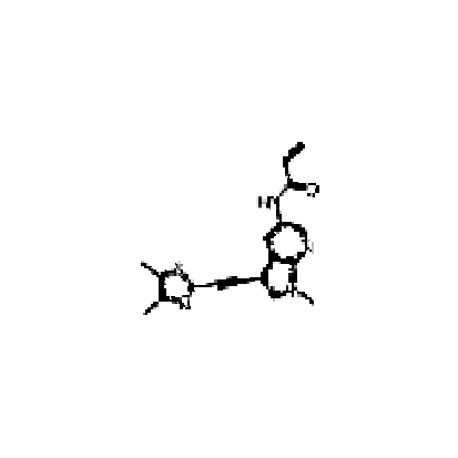 C=CC(=O)Nc1cnc2c(c1)c(C#Cc1nc(C)c(C)s1)cn2C